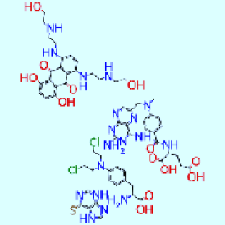 CN(Cc1cnc2nc(N)nc(N)c2n1)c1ccc(C(=O)N[C@@H](CCC(=O)O)C(=O)O)cc1.N[C@@H](Cc1ccc(N(CCCl)CCCl)cc1)C(=O)O.O=C1c2c(O)ccc(O)c2C(=O)c2c(NCCNCCO)ccc(NCCNCCO)c21.S=c1nc[nH]c2nc[nH]c12